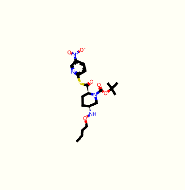 CCCCON[C@@H]1CC[C@@H](C(=O)Sc2ccc([N+](=O)[O-])cn2)N(C(=O)OC(C)(C)C)C1